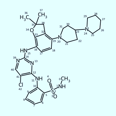 CNS(=O)(=O)c1ccccc1Nc1nc(Nc2ccc(N3CCC(N4CCCCC4)CC3)c3c2OC(C)(C)C3)ncc1Cl